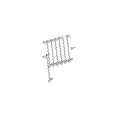 CCCCCCCCCCCCCCCC(=O)[O-].CCCCCCCCCCCCCCCC(=O)[O-].CCCCCCCCCCCCCCCC(=O)[O-].CCCCCCCCCCCCCCCC(=O)[O-].CCCCCCCCCCCCCCCC(=O)[O-].CCCCCCCCCCCCCCCC(=O)[O-].CCCCCCCCCCCCCCCC(=O)[O-].[B+3].[Zr+4]